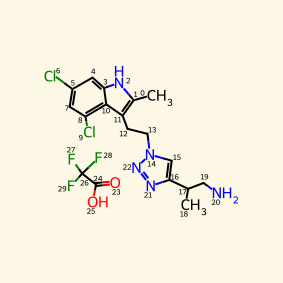 Cc1[nH]c2cc(Cl)cc(Cl)c2c1CCn1cc(C(C)CN)nn1.O=C(O)C(F)(F)F